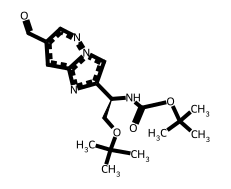 CC(C)(C)OC[C@H](NC(=O)OC(C)(C)C)c1cn2ncc(C=O)cc2n1